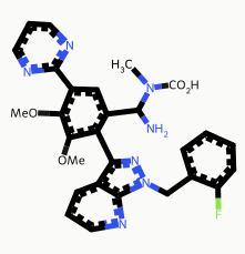 COc1c(-c2ncccn2)cc(C(N)N(C)C(=O)O)c(-c2nn(Cc3ccccc3F)c3ncccc23)c1OC